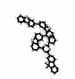 CC1(C)c2ccccc2-c2ccc(-c3nc(-c4ccccc4)nc(-c4cccc5oc6ccc(-c7cccc8oc9ccc(-c%10ccc%11c(c%10)sc%10ccccc%10%11)cc9c78)cc6c45)n3)cc21